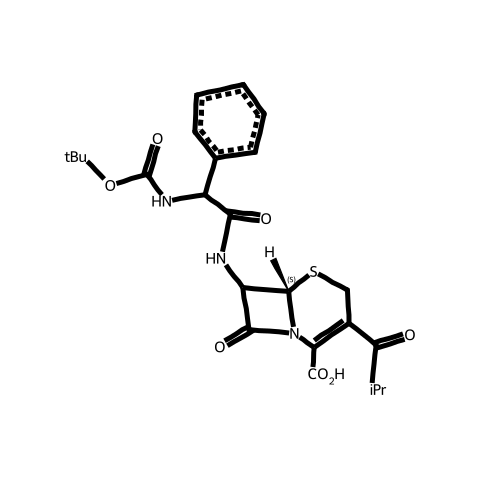 CC(C)C(=O)C1=C(C(=O)O)N2C(=O)C(NC(=O)C(NC(=O)OC(C)(C)C)c3ccccc3)[C@@H]2SC1